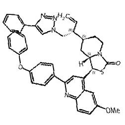 C=C[C@@H](Cn1cc(-c2ccccc2)nn1)[C@H]1CCN2C(=O)S[C@@H](c3cc(-c4ccc(Oc5ccccc5)cc4)nc4ccc(OC)cc34)[C@@H]2C1